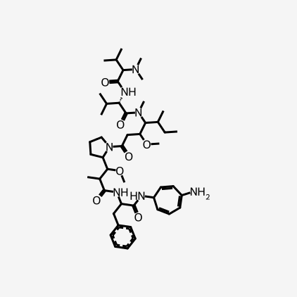 CCC(C)C(C(CC(=O)N1CCCC1C(OC)C(C)C(=O)NC(Cc1ccccc1)C(=O)NC1C=CC=C(N)C=C1)OC)N(C)C(=O)[C@@H](NC(=O)C(C(C)C)N(C)C)C(C)C